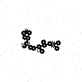 c1ccc(-c2nc3ccc(-c4ccc(-c5ccc(-c6ccc7ccc(-c8nc(-c9ccc(-c%10cccc%11oc%12ccccc%12c%10%11)c%10ccccc9%10)cc9ncccc89)cc7c6)c6oc7ccccc7c56)c5ccccc45)cc3nc2-c2ccccc2)cc1